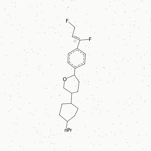 CCCC1CCC(C2CCC(c3ccc(/C(F)=C/CF)cc3)OC2)CC1